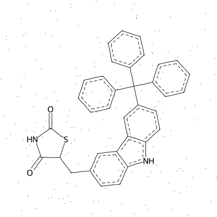 O=C1NC(=O)C(Cc2ccc3[nH]c4ccc(C(c5ccccc5)(c5ccccc5)c5ccccc5)cc4c3c2)S1